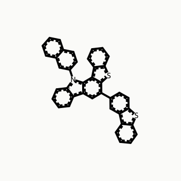 c1ccc2cc(-n3c4ccccc4c4cc(-c5ccc6sc7ccccc7c6c5)c5sc6ccccc6c5c43)ccc2c1